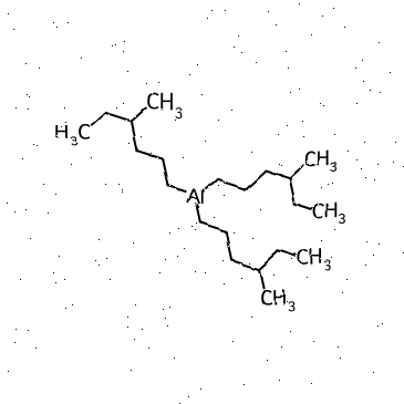 CCC(C)CC[CH2][Al]([CH2]CCC(C)CC)[CH2]CCC(C)CC